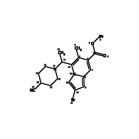 Cc1c(C(=O)OC(C)C)cc2cc(Br)cn2c1C(C)N1CCC(C#N)CC1